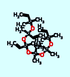 C=C[Si](C)(C)O[Si](C)(C)O[Si](C)(C)O[Si](C)(C=C)O[Si](C)(C=C)O[Si](C)(C)C=C